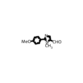 COc1ccc(-c2ncc(C=O)n2C)cc1